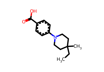 CCC1(C)CCN(c2ccc(C(=O)O)cc2)CC1